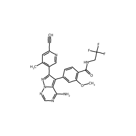 C#Cc1cc(C)c(-c2nn3ncnc(N)c3c2-c2ccc(C(=O)NCC(F)(F)F)c(OC)c2)cn1